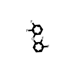 Fc1cccc(Oc2cccc(F)c2F)c1F